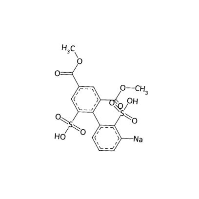 COC(=O)c1cc(C(=O)OC)c(-c2ccc[c]([Na])c2S(=O)(=O)O)c(S(=O)(=O)O)c1